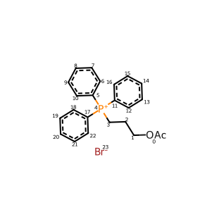 CC(=O)OCCC[P+](c1ccccc1)(c1ccccc1)c1ccccc1.[Br-]